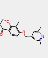 Cc1cc(COc2ccc3c(c2C)OCCC3=O)cc(C)n1